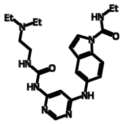 CCNC(=O)n1ccc2cc(Nc3cc(NC(=O)NCCN(CC)CC)ncn3)ccc21